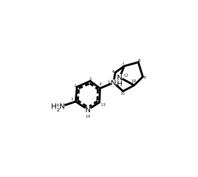 Nc1ccc(N2CC3CCC(C2)N3)cn1